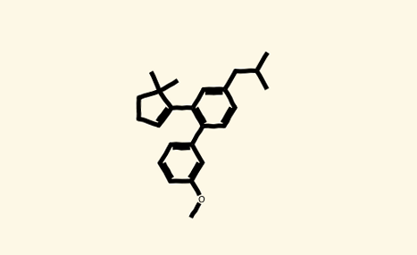 COc1cccc(-c2ccc(CC(C)C)cc2C2=CCCC2(C)C)c1